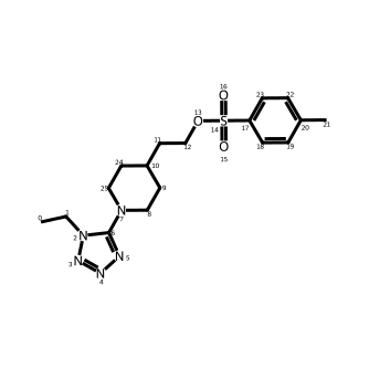 CCn1nnnc1N1CCC(CCOS(=O)(=O)c2ccc(C)cc2)CC1